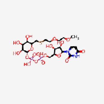 COCCOCCSCC1O[C@H](OP(=O)(O)OP(=O)(O)OCC2OC(n3ccc(=O)[nH]c3=O)[C@H](O)[C@@H]2O)C(O)[C@@H](O)[C@H]1O